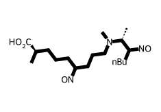 CCCCC(N=O)[C@@H](C)N(C)CCCC(CCC[C@@H](C)C(=O)O)N=O